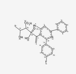 C=C(c1c(C(C)C)cc(-c2ccccc2)nc1-c1ccc(F)cc1)P(=O)(O)C(C(=O)O)C(C)O